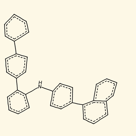 c1ccc(-c2ccc(-c3ccccc3Nc3ccc(-c4cccc5ccccc45)cc3)cc2)cc1